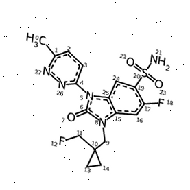 Cc1ccc(-n2c(=O)n(CC3(CF)CC3)c3cc(F)c(S(N)(=O)=O)cc32)nn1